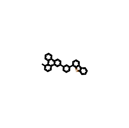 Cc1cccc2c3cc(-c4cccc(-c5cccc6c5sc5ccccc56)c4)ccc3c3ccccc3c12